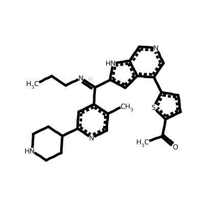 CCC/N=C(/c1cc2c(-c3ccc(C(C)=O)s3)cncc2[nH]1)c1cc(C2CCNCC2)ncc1C